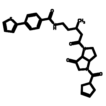 CC(CCNC(=O)c1ccc(-c2cccs2)cc1)CC(=O)N1CCC2C1C(=O)CN2C(=O)C1CC=CC1